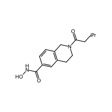 CC(C)CC(=O)N1CCc2cc(C(=O)NO)ccc2C1